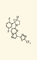 Fc1ccc(F)c([C@@]23C[C@@H]2CCN3c2ccn3ncc(-c4nnc(C(F)(F)F)s4)c3n2)c1